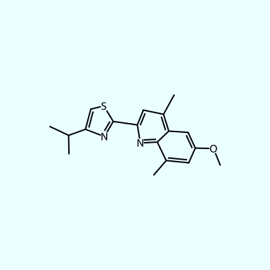 COc1cc(C)c2nc(-c3nc(C(C)C)cs3)cc(C)c2c1